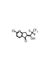 O=C1/C(=C(\O)C(F)(F)C(F)(F)F)Cc2nc(Cl)ccc21